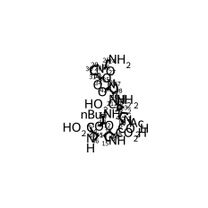 CC(=O)N1CCC[C@H]1C(=O)O.CCCC[C@@H](N)C(=O)OC1CCN[C@@H]1C(=O)O.NC1(C(=O)O)CC1.NCC(=O)N1CCC[C@H]1C(=O)ON1CCC(N)C1=O.O=C(O)C1CCN1